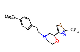 COc1ccc(CCN2CCOC(c3csc(C(F)(F)F)n3)C2)cc1